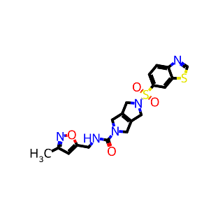 Cc1cc(CNC(=O)N2CC3=C(C2)CN(S(=O)(=O)c2ccc4ncsc4c2)C3)on1